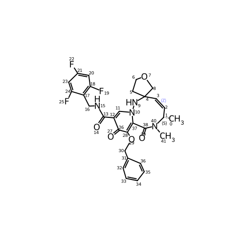 C[C@H]1/C=C\C2(CCOC2)Nn2cc(C(=O)NCc3c(F)cc(F)cc3F)c(=O)c(OCc3ccccc3)c2C(=O)N1C